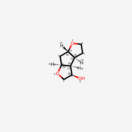 O[C@H]1CO[C@H]2C[C@@H]3OCC[C@H]3[C@H]21